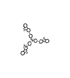 c1ccc2c(c1)sc1cc(-c3ccc(N(c4ccc(-c5ccc6c(c5)sc5ccccc56)cc4)c4ccc(-c5cc6sc7ccccc7c6cn5)cc4)cc3)ccc12